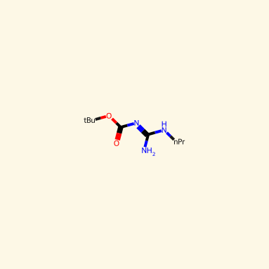 CCCN/C(N)=N/C(=O)OC(C)(C)C